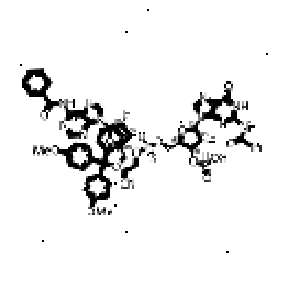 COc1ccc(C(OC[C@H]2O[C@@H](n3cnc4c(NC(=O)c5ccccc5)ncnc43)[C@H](F)[C@@H]2OP(=S)(OCCC#N)OC[C@H]2O[C@@H](n3cnc4c(=O)[nH]c(NC(=O)C(C)C)nc43)[C@H](F)[C@@H]2O[PH](=O)O)(c2ccccc2)c2ccc(OC)cc2)cc1